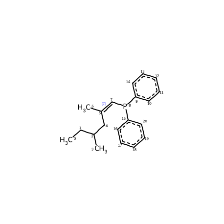 CCC(C)C/C(C)=C\P(c1ccccc1)c1ccccc1